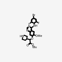 COc1cc2c(Nc3c(F)cc(Br)cc3F)ncnc2cc1OC(C(=O)OC(C)(C)C)C1CCNCC1